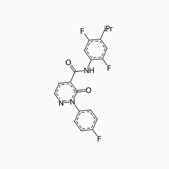 CC(C)c1cc(F)c(NC(=O)c2ccnn(-c3ccc(F)cc3)c2=O)cc1F